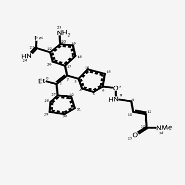 CC/C(=C(/c1ccc(ONC/C=C/C(=O)NC)cc1)c1ccc(N)c(C(=N)F)c1)c1ccccc1